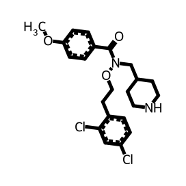 COc1ccc(C(=O)N(CC2CCNCC2)OCCc2ccc(Cl)cc2Cl)cc1